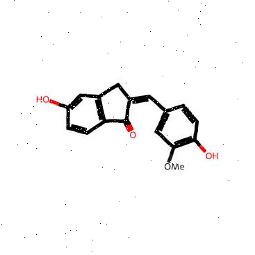 COc1cc(C=C2Cc3cc(O)ccc3C2=O)ccc1O